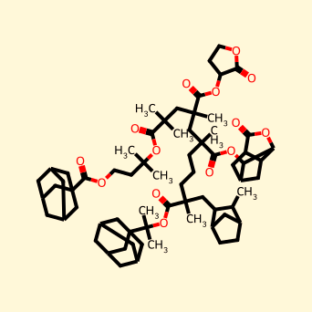 CC1C2CCC(C2)C1CC(C)(CCCC(C)(CC(C)(CC(C)(C)C(=O)OC(C)(C)CCOC(=O)C12CC3CC(CC(C3)C1)C2)C(=O)OC1CCOC1=O)C(=O)OC1C2CC3C(=O)OC1C3C2)C(=O)OC(C)(C)C12CC3CC(CC(C3)C1)C2